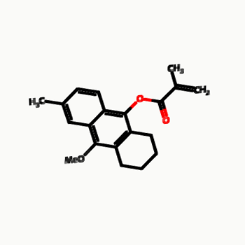 C=C(C)C(=O)Oc1c2c(c(OC)c3cc(C)ccc13)CCCC2